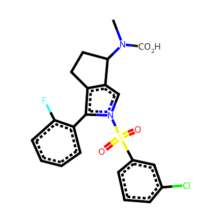 CN(C(=O)O)C1CCc2c1cn(S(=O)(=O)c1cccc(Cl)c1)c2-c1ccccc1F